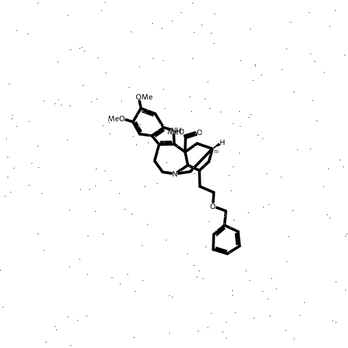 COC(=O)C12C[C@@H]3CC(CCOCc4ccccc4)C1N(CCc1c2[nH]c2cc(OC)c(OC)cc12)C3